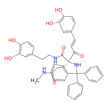 CNC(=O)CC[C@@](NC(c1ccccc1)(c1ccccc1)c1ccccc1)(C(=O)C=Cc1ccc(O)c(O)c1)C(=O)NCCc1ccc(O)c(O)c1